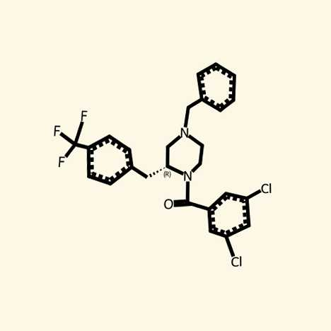 O=C(c1cc(Cl)cc(Cl)c1)N1CCN(Cc2ccccc2)C[C@H]1Cc1ccc(C(F)(F)F)cc1